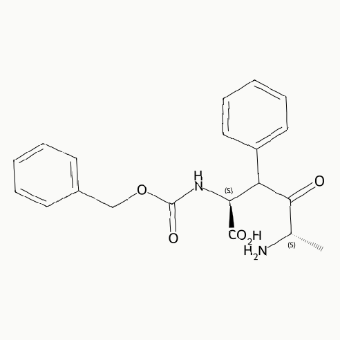 C[C@H](N)C(=O)C(c1ccccc1)[C@H](NC(=O)OCc1ccccc1)C(=O)O